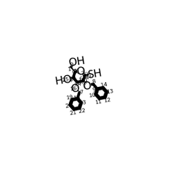 OC[C@H]1O[C@@H](S)[C@@H](OCc2ccccc2)[C@@H](OCc2ccccc2)[C@@H]1O